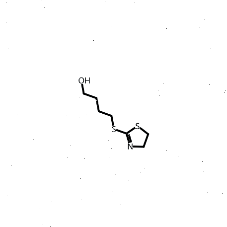 OCCCCSC1=NCCS1